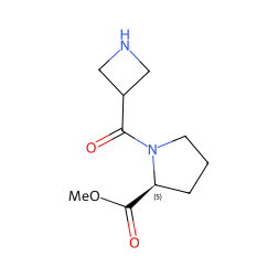 COC(=O)[C@@H]1CCCN1C(=O)C1CNC1